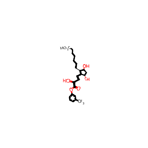 O=C(O)CCCCCC[C@@H]1C(CCC(O)C(=O)Oc2cccc(C(F)(F)F)c2)[C@H](O)C[C@@H]1O